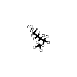 FC(F)(OC(Cl)(Cl)Cl)C(F)(F)C1(Cl)OC(Cl)(Cl)OC1(Cl)Cl